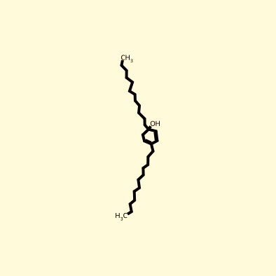 CCCCCCCCCCCCC1=CCC(O)(CCCCCCCCCCCC)C=C1